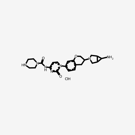 Cl.NC1C2CN(C3COc4cc(-n5ccc(NC(=O)N6CCNCC6)nc5=O)ccc4C3)CC12